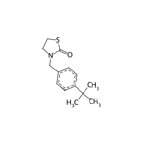 CC(C)(C)c1ccc(CN2CCSC2=O)cc1